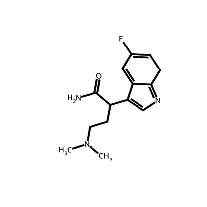 CN(C)CCC(C(N)=O)C1=CN=C2CC=C(F)C=C12